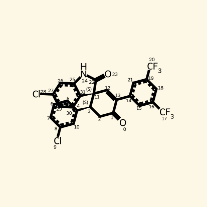 O=C1C[C@@H](c2cccc(Cl)c2)[C@@]2(C=C1c1cc(C(F)(F)F)cc(C(F)(F)F)c1)C(=O)Nc1cc(Cl)ccc12